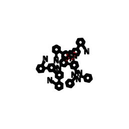 N#Cc1ccccc1-c1ccc2c(c1)c1cc(-c3ccccc3C#N)ccc1n2-c1ccc(-c2cccnc2)c(-c2cc(-c3nc(-c4ccccc4)nc(-c4ccccc4)n3)ccc2-n2c3ccc(-c4ccccc4C#N)cc3c3cc(-c4ccccc4C#N)ccc32)c1